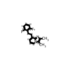 Cc1nc2c(CCc3c(F)cccc3F)cccn2c1C